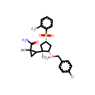 N#CC1(C(N)=O)CC1[C@@]1(C(=O)O)C[C@H](S(=O)(=O)c2ccccc2C(F)(F)F)C[C@@H]1OCc1ccc(Cl)cc1